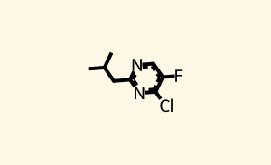 CC(C)Cc1ncc(F)c(Cl)n1